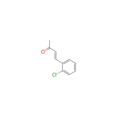 CC(=O)C=Cc1ccccc1Cl